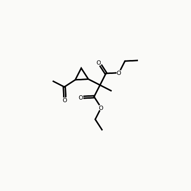 CCOC(=O)C(C)(C(=O)OCC)C1CC1C(C)=O